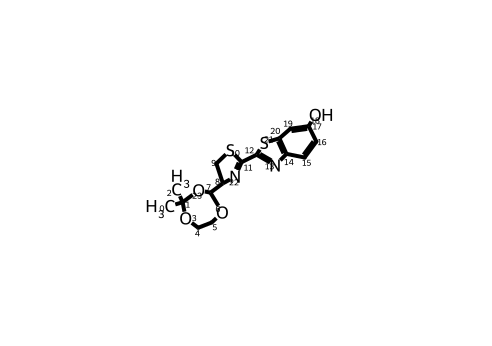 CC1(C)OCCOC(C2CSC(c3nc4ccc(O)cc4s3)=N2)O1